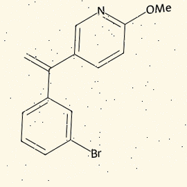 C=C(c1ccc(OC)nc1)c1cccc(Br)c1